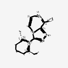 C[C@H]1CCC[C@H](C)N1c1nnc2c(Cl)nccn12